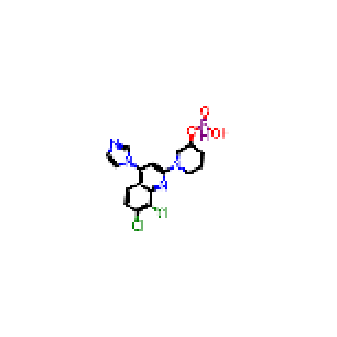 O=[PH](O)OC1CCCN(c2cc(-n3ccnc3)c3ccc(Cl)c(Cl)c3n2)C1